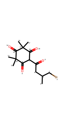 CC(CBr)CC(=O)C1C(=O)C(C)(C)C(=O)C(C)(C)C1=O